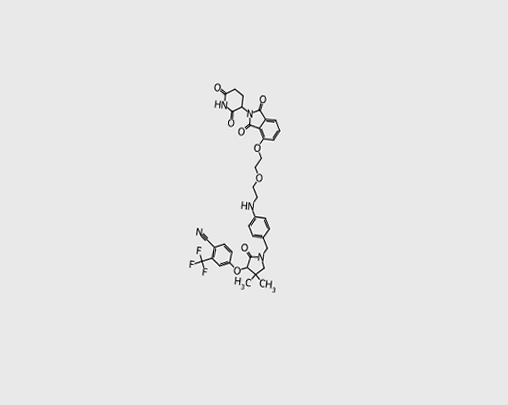 CC1(C)CN(Cc2ccc(NCCOCCOc3cccc4c3C(=O)N(C3CCC(=O)NC3=O)C4=O)cc2)C(=O)C1Oc1ccc(C#N)c(C(F)(F)F)c1